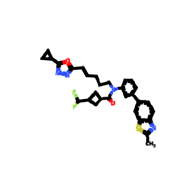 Cc1nc2ccc(-c3cccc(N(CCCCCc4nnc(C5CC5)o4)C(=O)C4CC(C(F)F)C4)c3)cc2s1